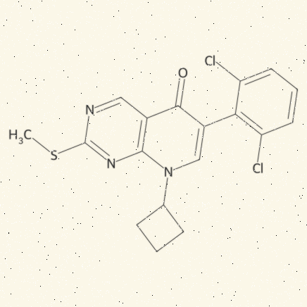 CSc1ncc2c(=O)c(-c3c(Cl)cccc3Cl)cn(C3CCC3)c2n1